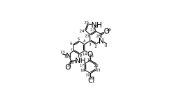 Cn1cc(-c2ccc3c([nH]c(=O)n3C)c2Oc2ccc(Cl)cc2)c2cc[nH]c2c1=O